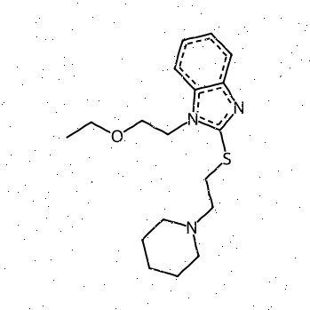 CCOCCn1c(SCCN2CCCCC2)nc2ccccc21